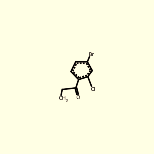 CCC(=O)c1ccc(Br)cc1Cl